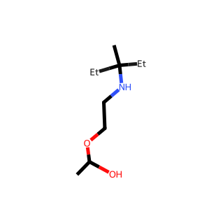 CCC(C)(CC)NCCOC(C)O